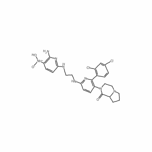 Nc1nc(NCCNc2ccc(N3CCN4CCCC4C3=O)c(-c3ccc(Cl)cc3Cl)n2)ccc1[NH+]([O-])O